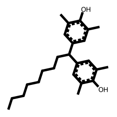 CCCCCCCCC(c1cc(C)c(O)c(C)c1)c1cc(C)c(O)c(C)c1